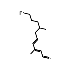 [CH]=CC=C(C)C=CCC(C)CCCC(C)C